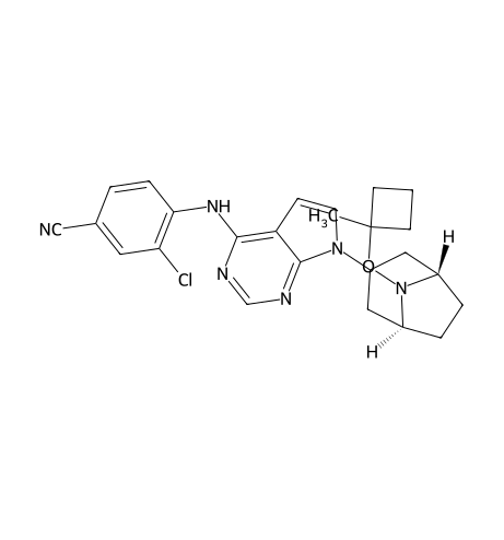 CC1(ON2[C@H]3CC[C@H]2CC(n2ccc4c(Nc5ccc(C#N)cc5Cl)ncnc42)C3)CCC1